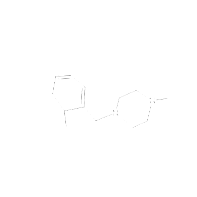 CC1CC=CC=C1CN1CCN(C)CC1